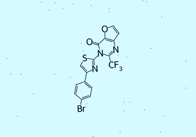 O=c1c2occc2nc(C(F)(F)F)n1-c1nc(-c2ccc(Br)cc2)cs1